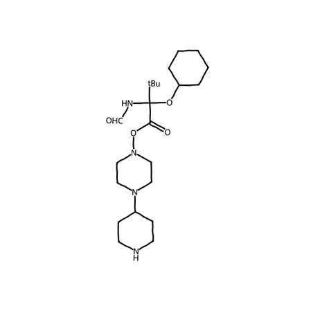 CC(C)(C)C(NC=O)(OC1CCCCC1)C(=O)ON1CCN(C2CCNCC2)CC1